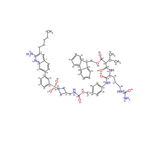 CCCCCc1cc2ccc(-c3cccc(S(=O)(=O)N4CC(CNC(=O)OCc5ccc(NC(=O)C(CCCNC(N)=O)NC(=O)C(C(=O)OCC6c7ccccc7-c7ccccc76)C(C)C)cc5)C4)c3)cc2nc1N